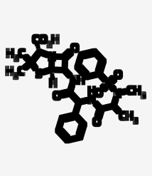 CC(C(=O)NC(C(=O)NC1C(=O)N2[C@@H]1SC(C)(C)[C@@H]2C(=O)O)c1ccccc1)N(C)S(=O)(=O)c1ccccc1